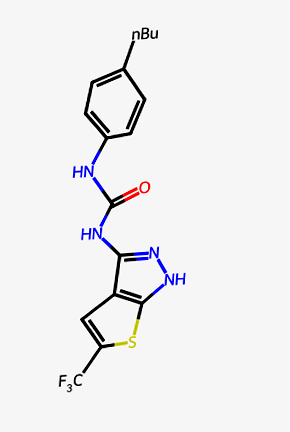 CCCCc1ccc(NC(=O)Nc2n[nH]c3sc(C(F)(F)F)cc23)cc1